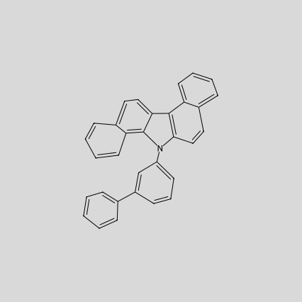 c1ccc(-c2cccc(-n3c4ccc5ccccc5c4c4ccc5ccccc5c43)c2)cc1